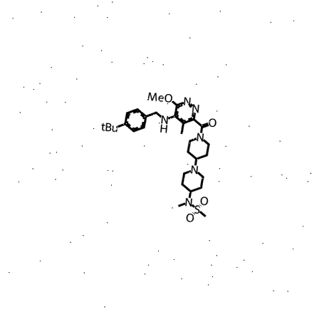 COc1nnc(C(=O)N2CCC(N3CCC(N(C)S(C)(=O)=O)CC3)CC2)c(C)c1NCc1ccc(C(C)(C)C)cc1